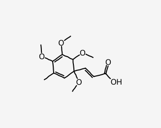 COC1=C(OC)C(OC)C(C=CC(=O)O)(OC)C=C1C